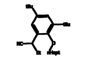 CCCCCCCOc1c(C(C#N)CC)cc(C(C)(C)C)cc1C(C)(C)C